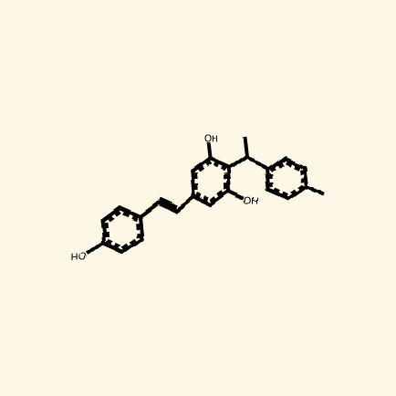 Cc1ccc(C(C)c2c(O)cc(/C=C/c3ccc(O)cc3)cc2O)cc1